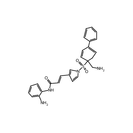 NCC1(S(=O)(=O)n2ccc(C=CC(=O)Nc3ccccc3N)c2)C=CC(c2ccccc2)=CC1